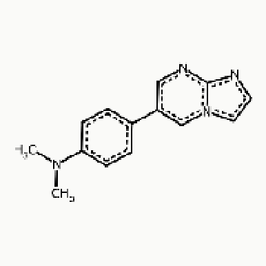 CN(C)c1ccc(-c2cnc3nccn3c2)cc1